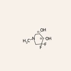 CN1C[C@H](O)[C@H](O)C(F)(F)C1